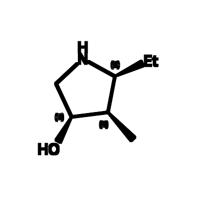 CC[C@@H]1NC[C@H](O)[C@@H]1C